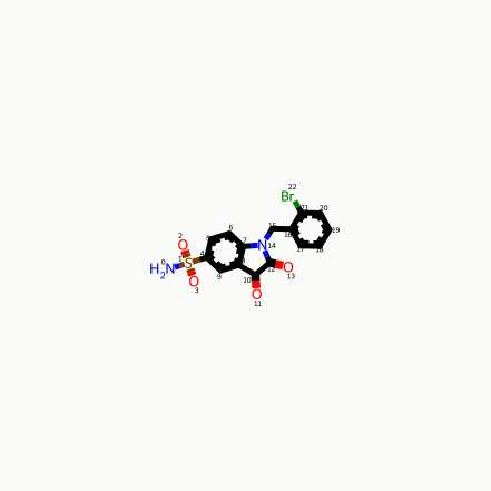 NS(=O)(=O)c1ccc2c(c1)C(=O)C(=O)N2Cc1ccccc1Br